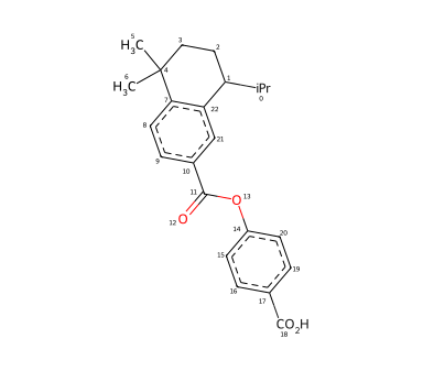 CC(C)C1CCC(C)(C)c2ccc(C(=O)Oc3ccc(C(=O)O)cc3)cc21